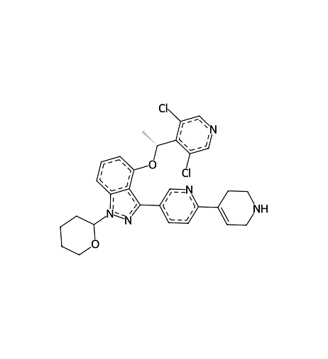 C[C@@H](Oc1cccc2c1c(-c1ccc(C3=CCNCC3)nc1)nn2C1CCCCO1)c1c(Cl)cncc1Cl